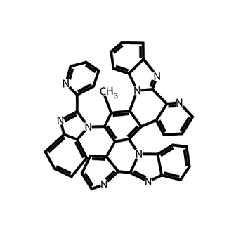 Cc1c(-n2c(-c3ccccn3)nc3ccccc32)c2c3cccnc3c3nc4ccccc4n3c2c2c3cccnc3c3nc4ccccc4n3c12